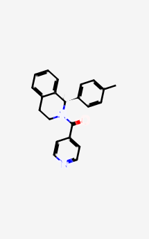 Cc1ccc([C@@H]2c3ccccc3CCN2C(=O)c2ccncc2)cc1